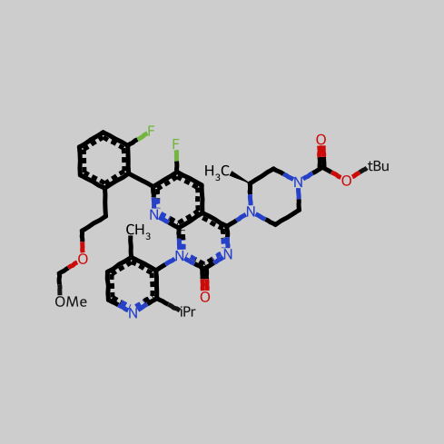 COCOCCc1cccc(F)c1-c1nc2c(cc1F)c(N1CCN(C(=O)OC(C)(C)C)C[C@@H]1C)nc(=O)n2-c1c(C)ccnc1C(C)C